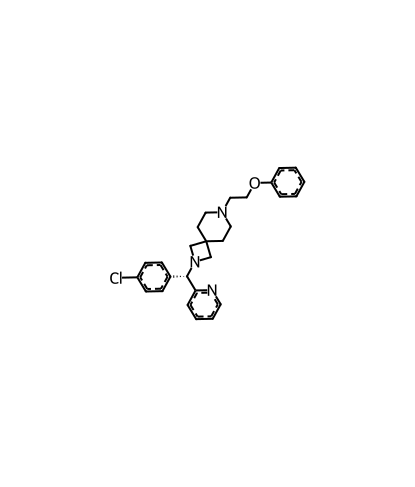 Clc1ccc([C@@H](c2ccccn2)N2CC3(CCN(CCOc4ccccc4)CC3)C2)cc1